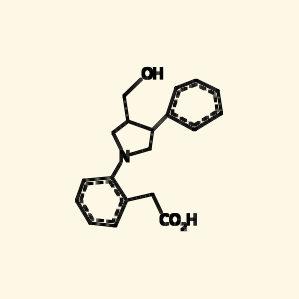 O=C(O)Cc1ccccc1N1CC(CO)C(c2ccccc2)C1